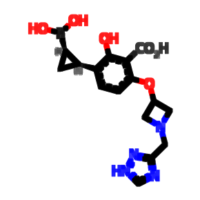 O=C(O)c1c(OC2CN(Cc3nc[nH]n3)C2)ccc([C@H]2C[C@H]2B(O)O)c1O